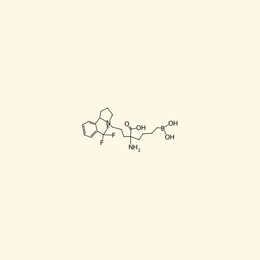 NC(CCCCB(O)O)(CCCN1CCCC1c1ccccc1C(F)(F)F)C(=O)O